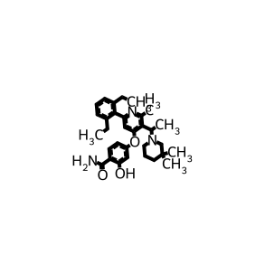 CCc1cccc(CC)c1-c1cc(Oc2ccc(C(N)=O)c(O)c2)c(C(C)N2CCCC(C)(C)C2)c(C)n1